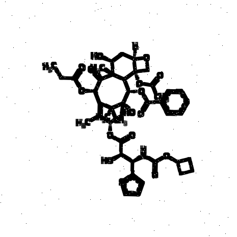 CCC(=O)O[C@H]1C(=O)[C@@]2(C)C([C@H](OC(=O)c3ccccc3)[C@]3(O)C[C@H](OC(=O)[C@H](O)[C@@H](NC(=O)OC4CCC4)c4cccs4)C(C)=C1C3(C)C)[C@]1(OC(C)=O)CO[C@@H]1C[C@@H]2O